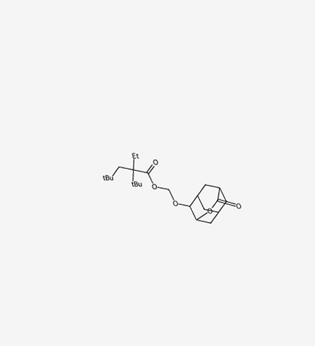 CCC(CC(C)(C)C)(C(=O)OCOC1C2CC3CC(C2)C(=O)OC1C3)C(C)(C)C